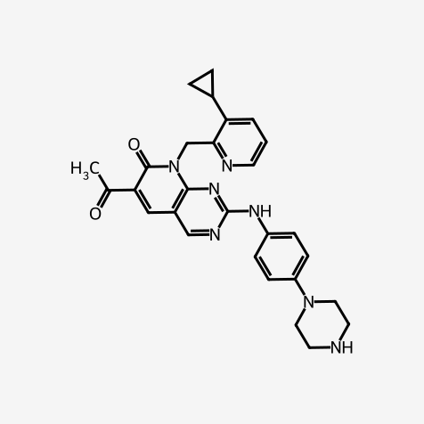 CC(=O)c1cc2cnc(Nc3ccc(N4CCNCC4)cc3)nc2n(Cc2ncccc2C2CC2)c1=O